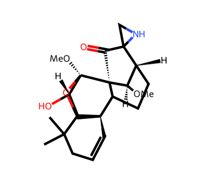 CO[C@@H]1[C@H]2CCC3[C@]45C=CCC(C)(C)C4[C@H](O)[C@](OC)(OC5)[C@]31C(=O)C21CN1